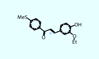 CCOc1cc(/C=C/C(=O)c2ccc(SC)cc2)ccc1O